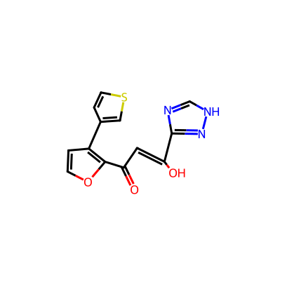 O=C(C=C(O)c1nc[nH]n1)c1occc1-c1ccsc1